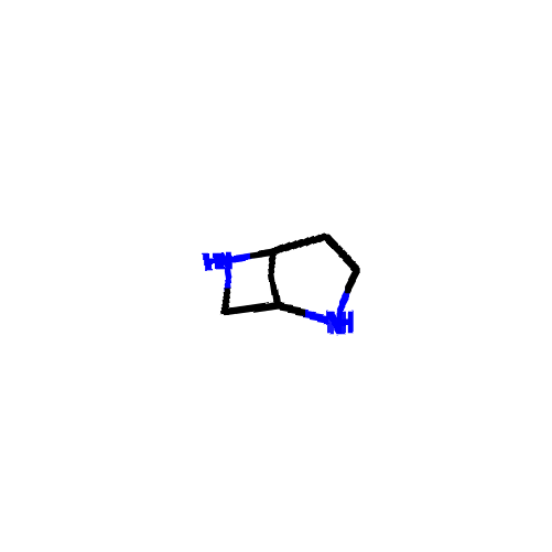 C1CC2NCC2N1